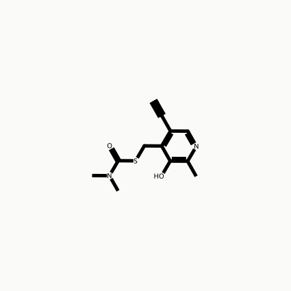 C#Cc1cnc(C)c(O)c1CSC(=O)N(C)C